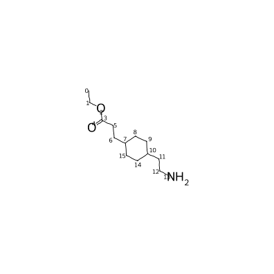 CCOC(=O)CCC1CCC(CCN)CC1